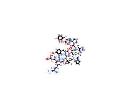 CC[C@H](C)[C@H](NC(=O)[C@H](Cc1ccc(O)cc1)NC(=O)[C@@H](NC(=O)[C@H](CCCNC(=N)N)NC(=O)[C@@H](N)CC(=O)O)C(C)C)C(=O)N[C@@H](Cc1cnc[nH]1)C(=O)N1CCC[C@H]1C(=O)N[C@@H](Cc1ccccc1)C(=O)O.c1cc[nH]c1